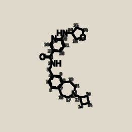 O=C(NCc1ccc2c(c1)CCN(C1CCC1)CC2)c1ccc(NC2CCOC2)nc1